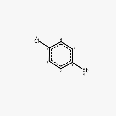 C[CH]c1ccc(Cl)cc1